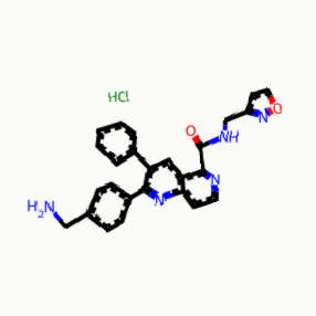 Cl.NCc1ccc(-c2nc3ccnc(C(=O)NCc4ccon4)c3cc2-c2ccccc2)cc1